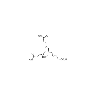 O=NC(=O)CCOCC(CO)(COCCC(=O)O)COCCC(=O)N=O